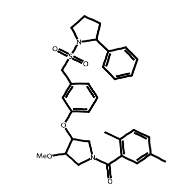 COC1CN(C(=O)c2cc(C)ccc2C)CC1Oc1cccc(CS(=O)(=O)N2CCCC2c2ccccc2)c1